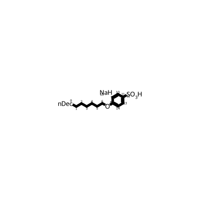 CCCCCCCCCCCCCCCCOc1ccc(S(=O)(=O)O)cc1.[NaH]